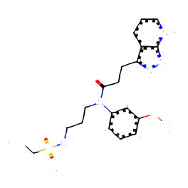 CCS(=O)(=O)NCCCN(C(=O)CCc1n[nH]c2ncccc12)c1cccc(OC)c1